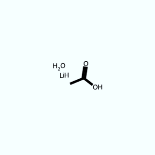 CC(=O)O.O.[LiH]